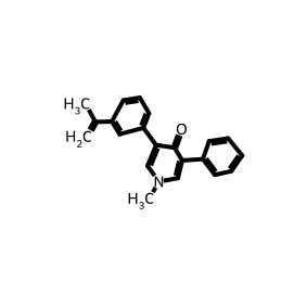 C=C(C)c1cccc(-c2cn(C)cc(-c3ccccc3)c2=O)c1